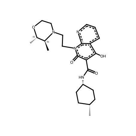 C[C@@H]1OCCN(CCn2c(=O)c(C(=O)N[C@H]3CC[C@@H](C)CC3)c(O)c3cccnc32)[C@H]1C